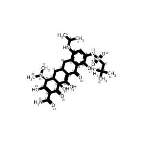 CC(C)Nc1cc(NS(=O)(=O)CC(C)(C)C)c(O)c2c1CC1CC3[C@H](N(C)C)C(O)=C(C(N)=O)C(=O)C3(O)C(O)=C1C2=O